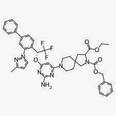 CCOC(=O)C1CC2(CCN(c3cc(O[C@H](c4ccc(-c5ccccc5)cc4-n4ccc(C)n4)C(F)(F)F)nc(N)n3)CC2)CN1C(=O)OCc1ccccc1